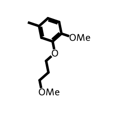 COCCCOc1cc(C)ccc1OC